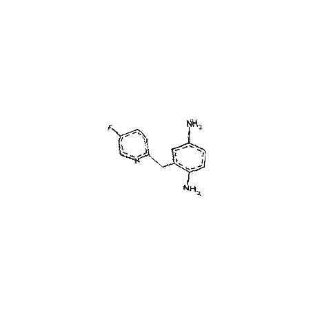 Nc1ccc(N)c(Cc2ccc(F)cn2)c1